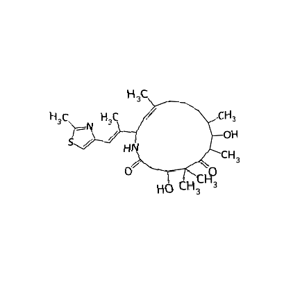 C/C1=C/C(/C(C)=C/c2csc(C)n2)NC(=O)CC(O)C(C)(C)C(=O)C(C)C(O)C(C)CCC1